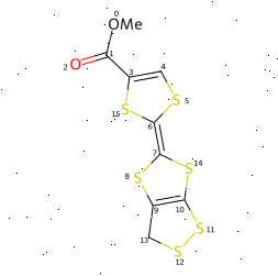 COC(=O)C1=CS/C(=C2/SC3=C(SSC3)S2)S1